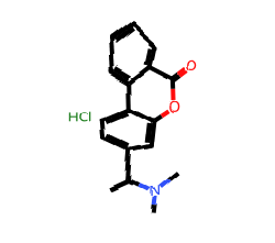 CC(c1ccc2c(c1)oc(=O)c1ccccc12)N(C)C.Cl